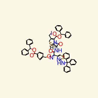 O=C(OC(c1ccccc1)c1ccccc1)C1=C(CI)CS[C@@H]2[C@H](NC(=O)/C(=N\OCc3ccc(C(=O)OC(c4ccccc4)c4ccccc4)cc3)c3csc(NC(c4ccccc4)(c4ccccc4)c4ccccc4)n3)C(=O)N12